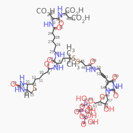 CC(C)(CCC(NC(=O)CCCCC1SC[C@@H]2NC(=O)NC12)C(=O)NCCCCCC(=O)NC(CC(=O)O)C(=O)NC(CC(=O)O)C(=O)O)SSCCC(=O)NCC#Cc1cn(C2CC(O)C(COP(=O)(O)OP(=O)(O)OP(=O)(O)O)O2)c(=O)[nH]c1=O